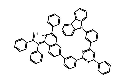 N=C(/C(=C1\NC(c2ccccc2)=Cc2cc(-c3cccc(-c4nc(-c5ccccc5)cc(-c5cccc(-n6c7ccccc7c7ccccc76)c5)n4)c3)ccc21)c1ccccc1)c1ccccc1